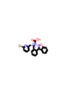 O=C(O)N[C@@H](Cc1cccc(Br)n1)c1ccccc1-c1noc2ccccc12